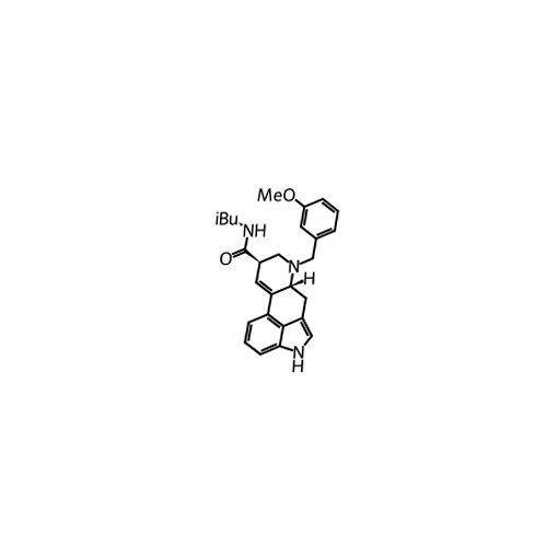 CC[C@@H](C)NC(=O)[C@@H]1C=C2c3cccc4[nH]cc(c34)C[C@H]2N(Cc2cccc(OC)c2)C1